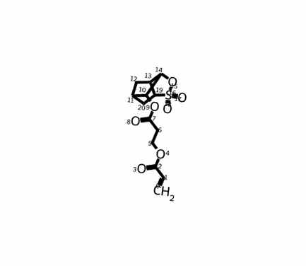 C=CC(=O)OCCC(=O)OC1C2CC3C1OS(=O)(=O)C3C2